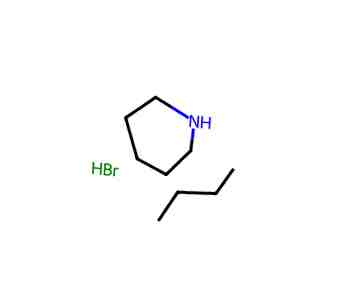 Br.C1CCNCC1.CCCC